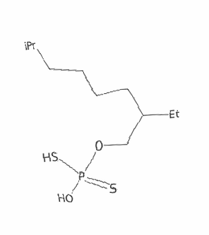 CCC(CCCCC(C)C)COP(O)(=S)S